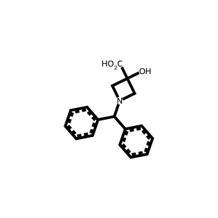 O=C(O)C1(O)CN(C(c2ccccc2)c2ccccc2)C1